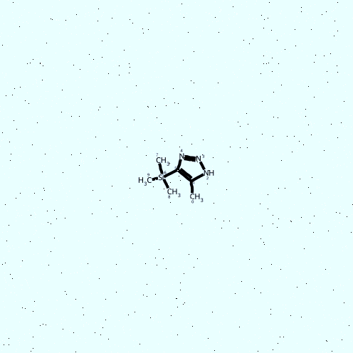 Cc1[nH]nnc1[Si](C)(C)C